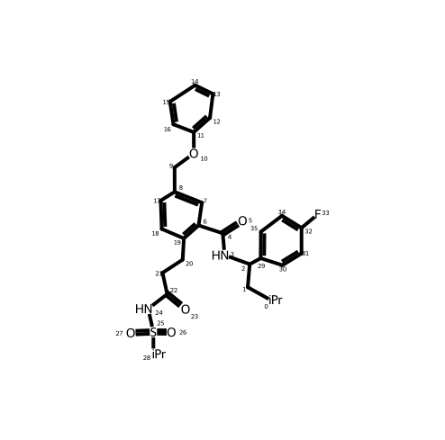 CC(C)CC(NC(=O)c1cc(COc2ccccc2)ccc1CCC(=O)NS(=O)(=O)C(C)C)c1ccc(F)cc1